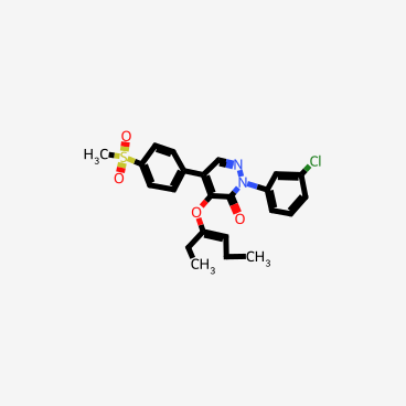 CCC=C(CC)Oc1c(-c2ccc(S(C)(=O)=O)cc2)cnn(-c2cccc(Cl)c2)c1=O